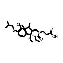 CCC[C@@](NC)(/C(=C\N(C=O)CCC(=O)O)C(C)CC)c1ccc(SCC(C)C)c(Cl)c1